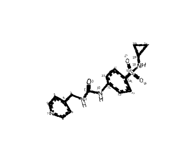 O=C(NCc1ccncc1)Nc1ccc(S(=O)(=O)NC2CC2)cc1